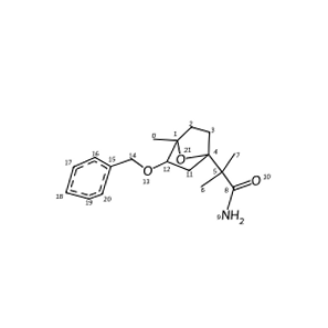 CC12CCC(C(C)(C)C(N)=O)(CC1OCc1ccccc1)O2